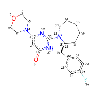 O=c1cc(N2CCOCC2)nc(N2CCCCC[C@H]2Cc2ccc(F)cc2)[nH]1